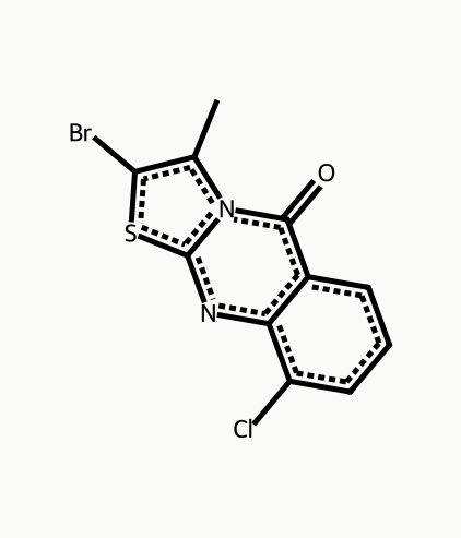 Cc1c(Br)sc2nc3c(Cl)cccc3c(=O)n12